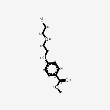 COC(=O)c1ccc(OCCOCCF)cc1